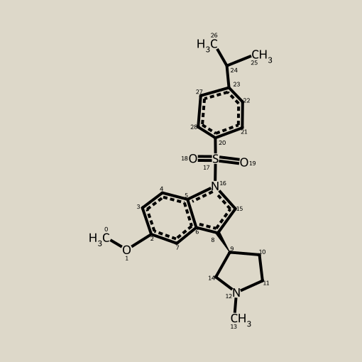 COc1ccc2c(c1)c([C@H]1CCN(C)C1)cn2S(=O)(=O)c1ccc(C(C)C)cc1